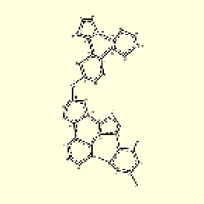 Cc1cc(C)c(-c2cnc3c4cc(Oc5ccc6c7cnccc7n7ccnc7c6c5)ccc4c4ccccc4n23)c(C)c1